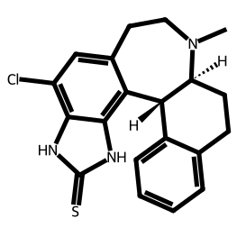 CN1CCc2cc(Cl)c3[nH]c(=S)[nH]c3c2[C@H]2c3ccccc3CC[C@@H]21